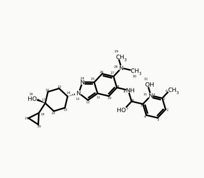 Cc1cccc(C(O)Nc2cc3cn([C@H]4CC[C@@](O)(C5CC5)CC4)nc3cc2N(C)C)[n+]1O